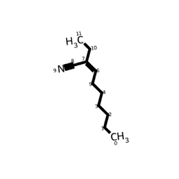 CCCCCCC=C(C#N)CC